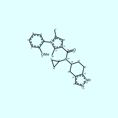 COc1ccccc1-n1c(C)cc(C(=O)N(C2CC2)C2CCc3[nH]ncc3C2)c1C